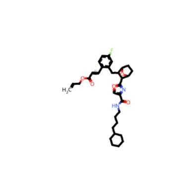 C=CCOC(=O)/C=C/c1ccc(F)cc1CC1C2CCC(O2)C1c1nc(C(=O)NCCCCC2CCCCC2)co1